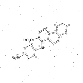 CCOC(=O)c1cnc2c(ccc3ccccc32)c1Nc1ccc(NC(C)=O)cc1